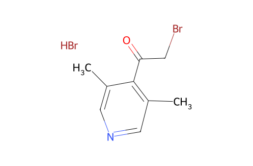 Br.Cc1cncc(C)c1C(=O)CBr